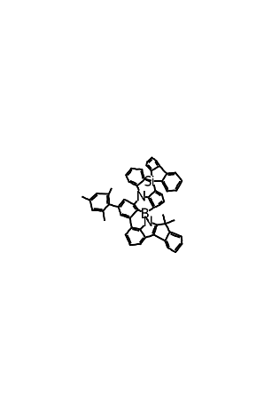 Cc1cc(C)c(-c2cc3c4c(c2)N2c5ccccc5[Si]5(c6ccccc6-c6ccccc65)c5cccc(c52)B4n2c4c(c5cccc-3c52)-c2ccccc2C4(C)C)c(C)c1